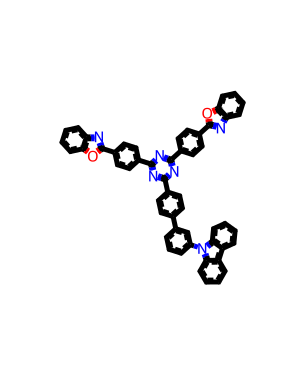 c1cc(-c2ccc(-c3nc(-c4ccc(-c5nc6ccccc6o5)cc4)nc(-c4ccc(-c5nc6ccccc6o5)cc4)n3)cc2)cc(-n2c3ccccc3c3ccccc32)c1